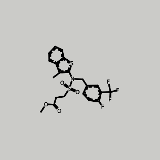 COC(=O)CCS(=O)(=O)N(Cc1ccc(F)c(C(F)(F)F)c1)c1sc2ccccc2c1C